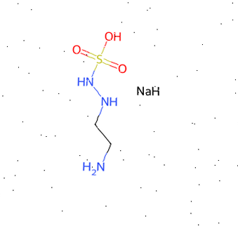 NCCNNS(=O)(=O)O.[NaH]